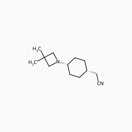 CC1(C)CN([C@H]2CC[C@@H](CC#N)CC2)C1